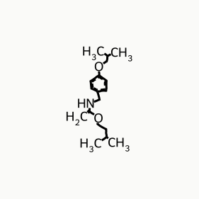 C=C(NCc1ccc(OCC(C)C)cc1)OCCC(C)C